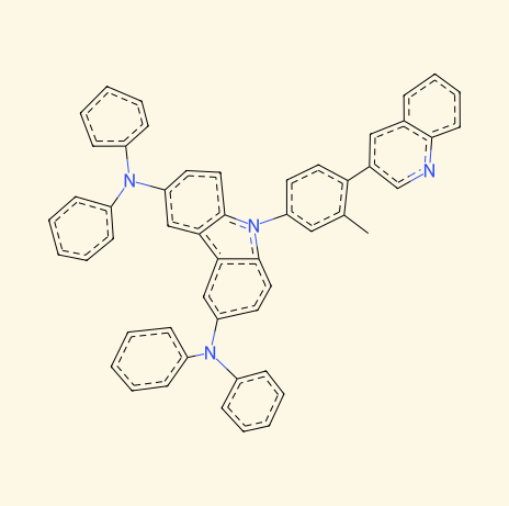 Cc1cc(-n2c3ccc(N(c4ccccc4)c4ccccc4)cc3c3cc(N(c4ccccc4)c4ccccc4)ccc32)ccc1-c1cnc2ccccc2c1